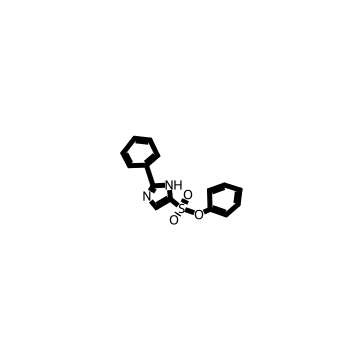 O=S(=O)(Oc1ccccc1)c1cnc(-c2ccccc2)[nH]1